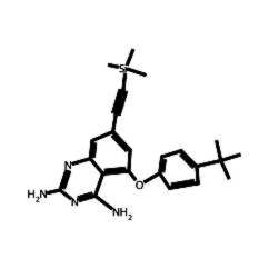 CC(C)(C)c1ccc(Oc2cc(C#C[Si](C)(C)C)cc3nc(N)nc(N)c23)cc1